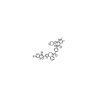 Cc1cc(C(=O)Nc2ccc(C(=O)N3CCc4cc(C(=O)Nc5ccc(F)cc5F)sc4-c4ccccc43)cc2)c(N2CC3(CCOCC3)C2)nc1C